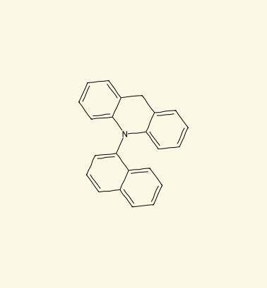 c1ccc2c(c1)Cc1ccccc1N2c1cccc2ccccc12